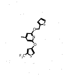 Cc1cc(OCc2cccs2)nc(Oc2csc(C(F)(F)F)c2)c1